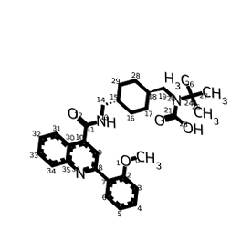 COc1ccccc1-c1cc(C(=O)NC[C@H]2CC[C@H](CN(C(=O)O)C(C)(C)C)CC2)c2ccccc2n1